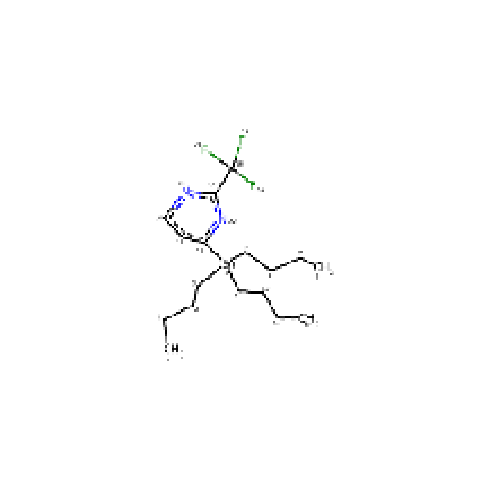 CCC[CH2][Sn]([CH2]CCC)([CH2]CCC)[c]1ccnc(C(F)(F)F)n1